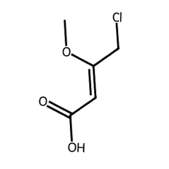 CO/C(=C\C(=O)O)CCl